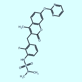 Cc1c(Cc2cccc(NS(=O)(=O)N(C)C)c2F)c(=O)oc2cc(Oc3ncccn3)ccc12